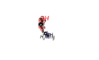 C[N+](C)(C)c1ccc(CCOC(=O)Oc2ccc(S(=O)(=O)O)cc2)cc1